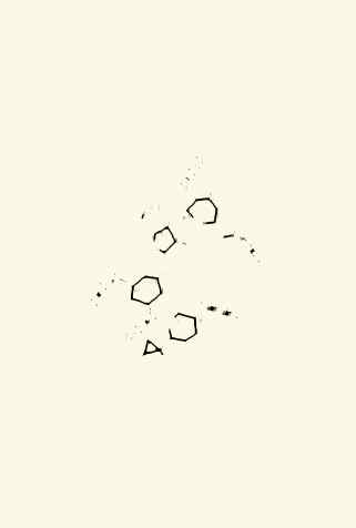 CC1([C@@H]2CC[C@@H](N=[N+]=[N-])[C@@H](O[C@H]3[C@H](O[C@@H]4O[C@H](CO)[C@@H](O[C@H]5O[C@@H](CN=[N+]=[N-])[C@@H](O)[C@H](O)[C@H]5N=[N+]=[N-])[C@H]4O)[C@@H](O)[C@H](N=[N+]=[N-])C[C@@H]3N=[N+]=[N-])O2)CC1